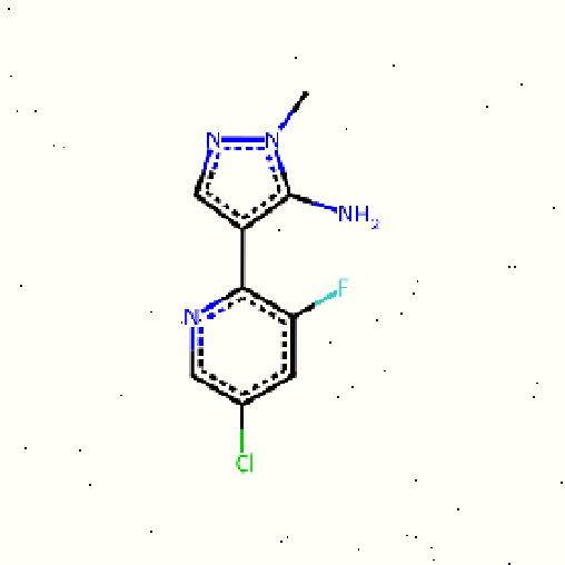 Cn1ncc(-c2ncc(Cl)cc2F)c1N